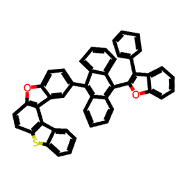 c1ccc(-c2c(-c3c4ccccc4c(-c4ccc5oc6ccc7sc8ccccc8c7c6c5c4)c4ccccc34)oc3ccccc23)cc1